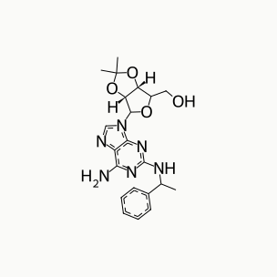 CC(Nc1nc(N)c2ncn(C3OC(CO)[C@H]4OC(C)(C)O[C@@H]34)c2n1)c1ccccc1